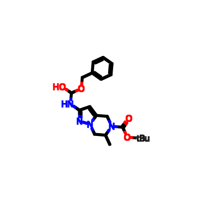 CC1Cn2nc(NC(O)OCc3ccccc3)cc2CN1C(=O)OC(C)(C)C